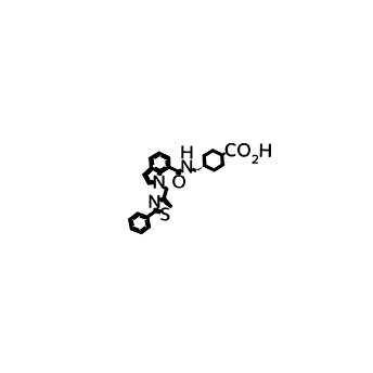 O=C(NC[C@H]1CC[C@H](C(=O)O)CC1)c1cccc2ccn(Cc3csc(-c4ccccc4)n3)c12